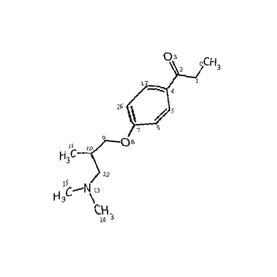 CCC(=O)c1ccc(OCC(C)CN(C)C)cc1